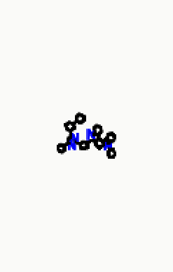 c1ccc(-c2cccc(-c3cc(-c4ccccc4)nc(-c4cccc(-c5nc6ccccc6c6c5ccc5c6c6ccccc6n5-c5ccccc5)c4)n3)c2)cc1